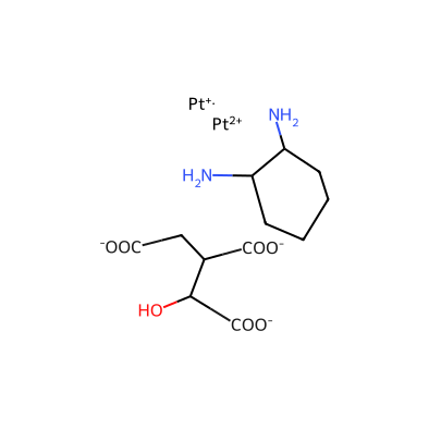 NC1CCCCC1N.O=C([O-])CC(C(=O)[O-])C(O)C(=O)[O-].[Pt+2].[Pt+]